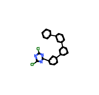 Clc1nc(Cl)nc(-c2cccc(-c3cccc(-c4cccc(-c5ccccc5)c4)c3)c2)n1